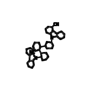 N#Cc1cccc(-c2cccc(-n3c4ccccc4c4c(C#N)cccc43)c2)c1-c1ccccc1-n1c2ccccc2c2ccccc21